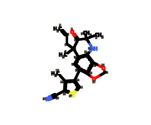 C=CCC1(C)C(=O)C(C)(C)Nc2c1cc(-c1csc(C#N)c1C)c1c2OCO1